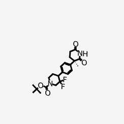 CC(C)(C)OC(=O)N1CCC(c2ccc([C@@]3(C)CCC(=O)NC3=O)cc2)C(F)(F)C1